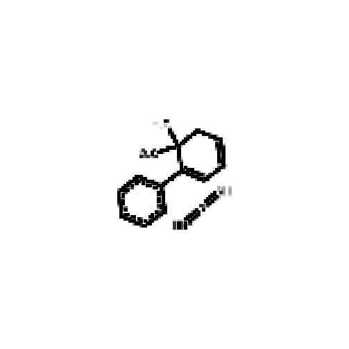 CC1(C(=O)O)CC=CC=C1c1ccccc1.N=[N+]=N